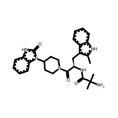 Cc1[nH]c2ccccc2c1C[C@@H](NC(=O)C(C)(C)N)C(=O)N1CCC(n2c(=O)[nH]c3ccccc32)CC1